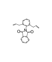 C=CCc1cccc(CC=C)c1N1C(=O)c2ccccc2C1=O